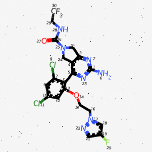 Nc1nc2c(c(-c3c(Cl)cc(Cl)cc3OCCn3cc(F)cn3)n1)CN(C(=O)NCC(F)(F)F)C2